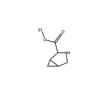 CCOC(=O)C1NCC2CC21